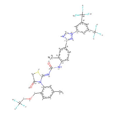 Cc1ccc(COCC(F)(F)F)c(N2C(=O)CSC2=NC(=O)Nc2ccc(-c3ncn(-c4cc(C(F)(F)F)cc(C(F)(F)F)c4)n3)cc2C)c1